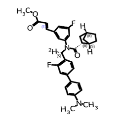 [2H][C@@H](c1ccc(-c2ccc(N(C)C)cc2)cc1F)N(C(=O)[C@@H]1C[C@@H]2CC[C@H]1C2)c1cc(F)cc(/C=C/C(=O)OC)c1